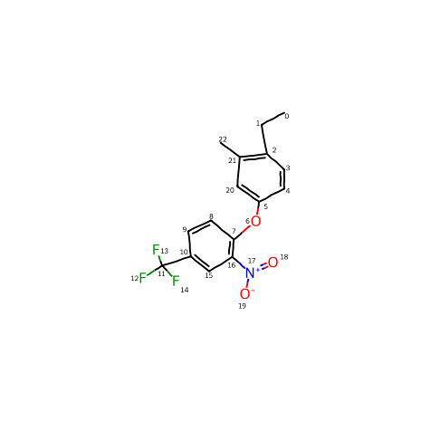 CCc1ccc(Oc2ccc(C(F)(F)F)cc2[N+](=O)[O-])cc1C